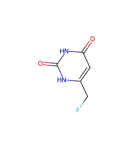 O=c1cc(CF)[nH]c(=O)[nH]1